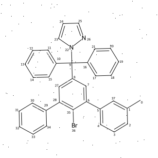 Cc1cccc(-c2cc(C(c3ccccc3)(c3ccccc3)n3cccn3)cc(-c3ccccc3)c2Br)c1